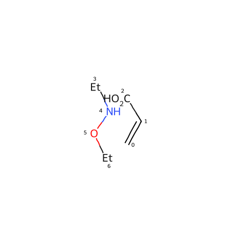 C=CC(=O)O.CCNOCC